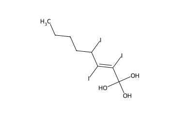 CCCCC(I)/C(I)=C(\I)C(O)(O)O